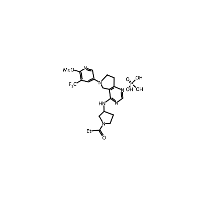 CCC(=O)N1CCC(Nc2ncnc3c2CN(c2cnc(OC)c(C(F)(F)F)c2)CC3)C1.O=P(O)(O)O